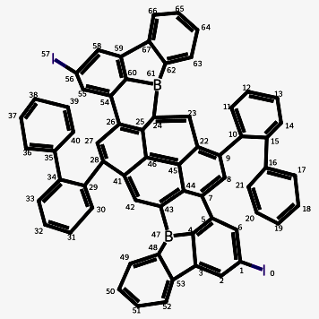 Ic1cc2c3c(c1)-c1cc(-c4ccccc4-c4ccccc4)c4cc5c6c(cc(-c7ccccc7-c7ccccc7)c7cc(c1c4c76)B3c1ccccc1-2)-c1cc(I)cc2c1B5c1ccccc1-2